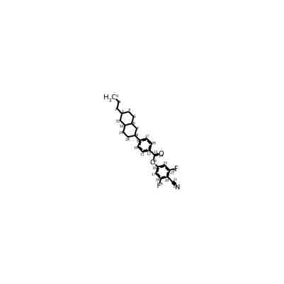 CCCC1CCC2CC(c3ccc(C(=O)Oc4cc(F)c(C#N)c(F)c4)cc3)CCC2C1